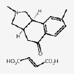 Cc1ccc2c(c1)[C@@H]1CN(C)C[C@@H]1CC2=O.O=C(O)C=CC(=O)O